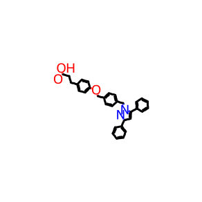 O=C(O)CCc1ccc(OCc2ccc(Cn3nc(-c4ccccc4)cc3-c3ccccc3)cc2)cc1